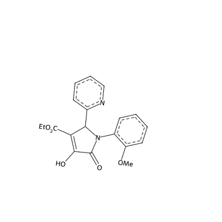 CCOC(=O)C1=C(O)C(=O)N(c2ccccc2OC)C1c1ccccn1